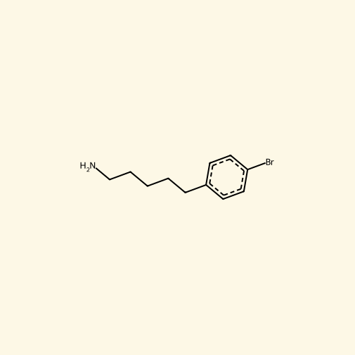 NCCCCCc1ccc(Br)cc1